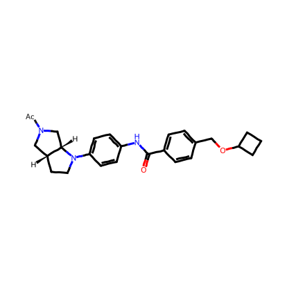 CC(=O)N1C[C@H]2CCN(c3ccc(NC(=O)c4ccc(COC5CCC5)cc4)cc3)[C@H]2C1